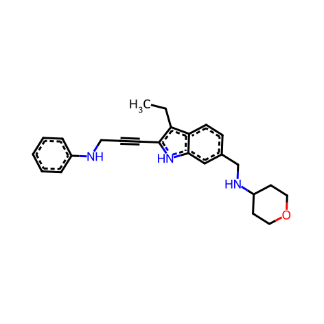 CCc1c(C#CCNc2ccccc2)[nH]c2cc(CNC3CCOCC3)ccc12